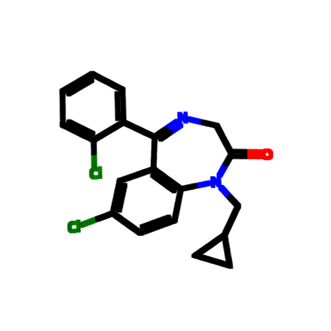 O=C1CN=C(c2ccccc2Cl)c2cc(Cl)ccc2N1CC1CC1